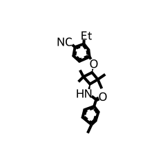 CCc1cc(O[C@H]2C(C)(C)[C@H](NC(=O)c3ccc(C)cc3)C2(C)C)ccc1C#N